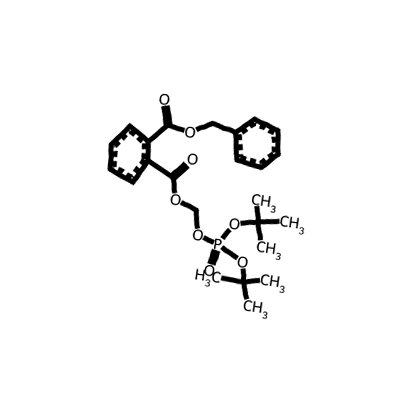 CC(C)(C)OP(=O)(OCOC(=O)c1ccccc1C(=O)OCc1ccccc1)OC(C)(C)C